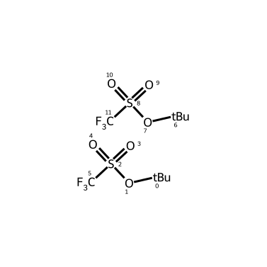 CC(C)(C)OS(=O)(=O)C(F)(F)F.CC(C)(C)OS(=O)(=O)C(F)(F)F